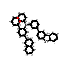 C1=CC2Oc3ccc(-c4cccc(N(c5ccccc5)c5cc(-c6ccc7ccccc7c6)ccc5-c5ccccc5)c4)cc3C2C=C1